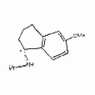 COc1ccc2c(c1)CCC[C@H]2NC(C)C